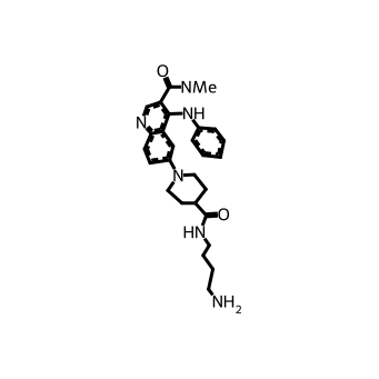 CNC(=O)c1cnc2ccc(N3CCC(C(=O)NCCCCN)CC3)cc2c1Nc1ccccc1